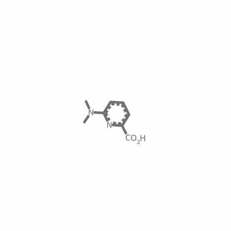 CN(C)c1cccc(C(=O)O)n1